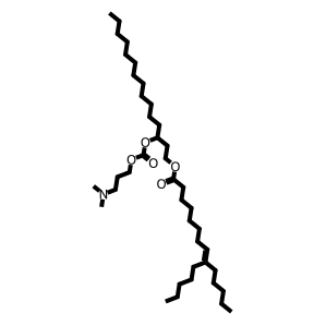 CCCCCCCCCCCCC(CCOC(=O)CCCCCCC=C(CCCCC)CCCCC)OC(=O)OCCCN(C)C